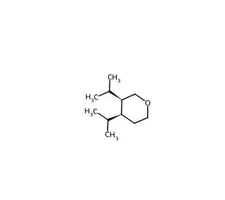 CC(C)[C@H]1COCC[C@H]1C(C)C